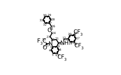 O=C(N1c2ccc(C(F)(F)F)cc2C(NCc2cc(C(F)(F)F)cc(C(F)(F)F)c2)CC1CCOCc1ccccc1)C(F)(F)F